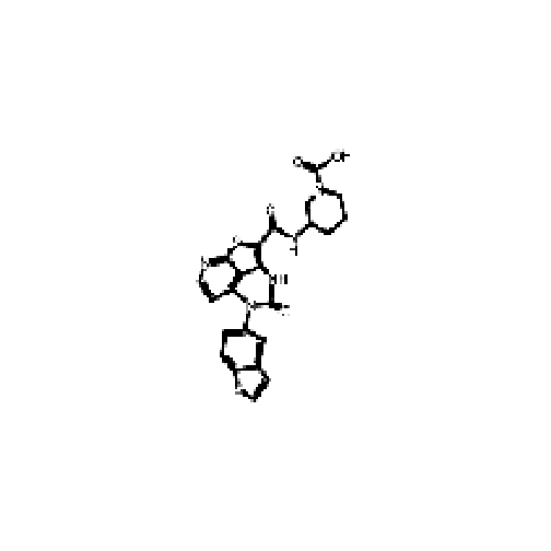 O=C(NC1CCCN(C(=O)O)C1)c1sc2nccc3c2c1NC(=O)N3c1ccc2sccc2c1